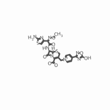 CO/N=C(\C(=O)N[C@@H]1C(=O)N2C(C(=O)[O-])=C(C[n+]3ccc(-c4noc(O)n4)cc3)CS[C@H]12)c1csc(N)n1